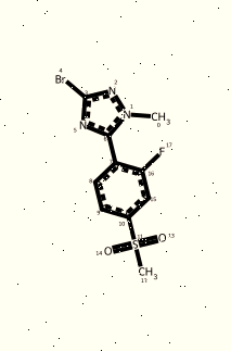 Cn1nc(Br)nc1-c1ccc(S(C)(=O)=O)cc1F